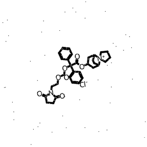 O=C(OCCN1C(=O)CCC1=O)OC(C(=O)OC1CC2CCC(C1)[N+]21CCCC1)(c1ccccc1)c1ccccc1.[Cl-]